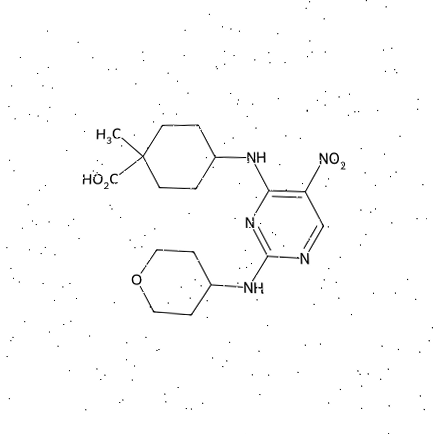 CC1(C(=O)O)CCC(Nc2nc(NC3CCOCC3)ncc2[N+](=O)[O-])CC1